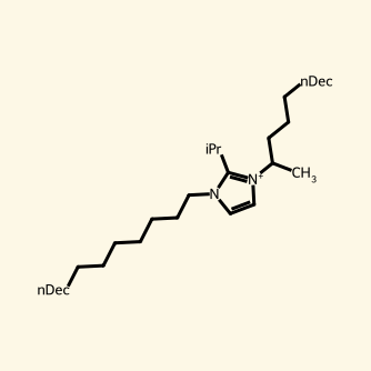 CCCCCCCCCCCCCCCCCn1cc[n+](C(C)CCCCCCCCCCCCC)c1C(C)C